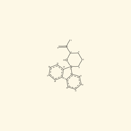 C=C(C)C1CCC[Si](c2ccccc2)(c2ccccc2)O1